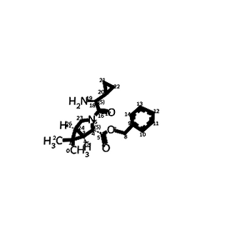 CC1(C)[C@@H]2[C@@H](C(=O)OCc3ccccc3)N(C(=O)[C@@H](N)C3CC3)C[C@@H]21